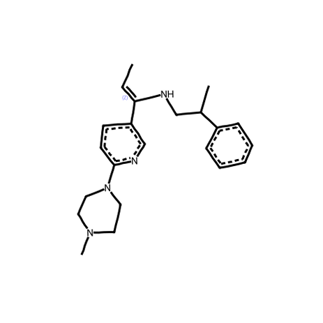 C/C=C(\NCC(C)c1ccccc1)c1ccc(N2CCN(C)CC2)nc1